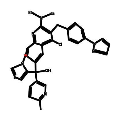 CCN(CC)c1nc2ccc(C(O)(c3ccc(C)nc3)c3cncn3C)cc2c(Cl)c1Cc1ccc(-n2cccn2)cc1